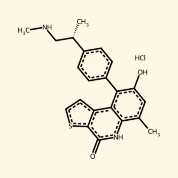 CNC[C@H](C)c1ccc(-c2c(O)cc(C)c3[nH]c(=O)c4sccc4c23)cc1.Cl